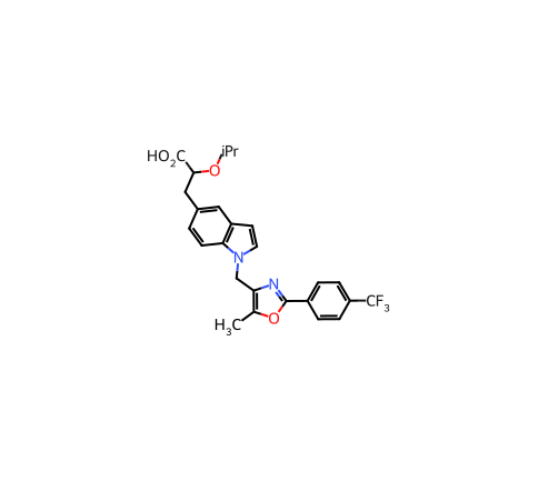 Cc1oc(-c2ccc(C(F)(F)F)cc2)nc1Cn1ccc2cc(CC(OC(C)C)C(=O)O)ccc21